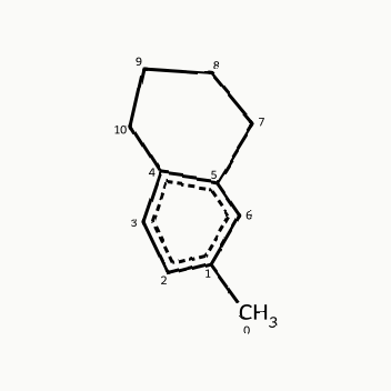 Cc1ccc2c(c1)CCCC2